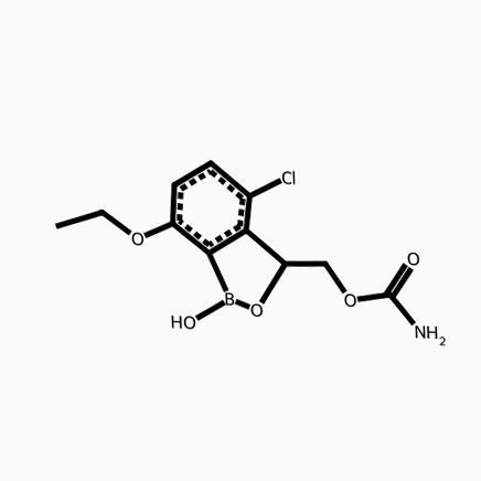 CCOc1ccc(Cl)c2c1B(O)OC2COC(N)=O